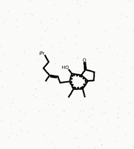 C/C(=C\Cc1c(C)c(C)c2c(c1O)C(=O)CC2)CCC(C)C